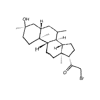 CC1C[C@H]2C[C@](C)(O)CC[C@]2(C)[C@H]2CC[C@]3(C)[C@@H](C(=O)CBr)CC[C@H]3[C@H]12